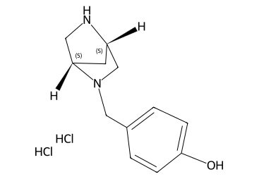 Cl.Cl.Oc1ccc(CN2C[C@@H]3C[C@H]2CN3)cc1